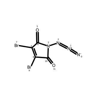 [N-]=[N+]=NN1C(=O)C(Br)=C(Br)C1=O